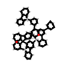 c1ccc(-c2cccc(-c3ccccc3N(c3ccc(-c4cccc(-n5c6ccccc6c6ccccc65)c4)cc3)c3cc4c5c(c3)c3ccccc3n5-c3ccccc3C43c4ccccc4-c4ccccc43)c2)cc1